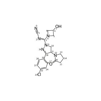 N#CN=C(N1CC(O)C1)N1CC(N2CCCC2=O)C(c2ccc(Cl)cc2)=N1